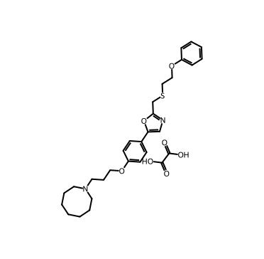 O=C(O)C(=O)O.c1ccc(OCCSCc2ncc(-c3ccc(OCCCN4CCCCCCC4)cc3)o2)cc1